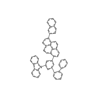 c1ccc(-c2ccccc2-c2cc(-c3ccc4ccc5c(-c6ccc7ccccc7c6)ccc6ccc3c4c65)cc(-n3c4ccccc4c4ccccc43)c2)cc1